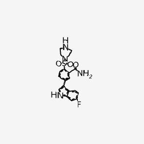 NC(=O)c1cc(-c2c[nH]c3cc(F)ccc23)ccc1S(=O)(=O)N1CCNCC1